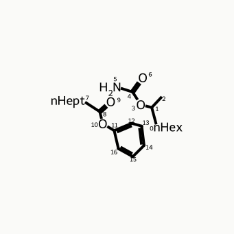 CCCCCCC(C)OC(N)=O.CCCCCCCC(=O)Oc1ccccc1